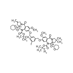 C=C1C[C@H]2C(OC3CCCCO3)N(C(=O)OC(C)(C)C)c3cc(OCc4cc(I)cc(COc5cc6c(cc5OC)C(=O)N5CC(C)(C)C[C@H]5[C@H](OC5CCCCO5)N6C(=O)OC(C)(C)C)c4)c(OC)cc3C(=O)N2C1